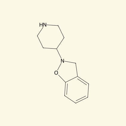 c1ccc2c(c1)CN(C1CCNCC1)O2